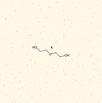 OCCOCCO.[K]